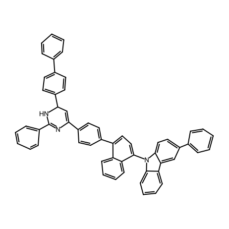 C1=C(c2ccc(-c3ccc(-n4c5ccccc5c5cc(-c6ccccc6)ccc54)c4ccccc34)cc2)N=C(c2ccccc2)NC1c1ccc(-c2ccccc2)cc1